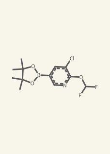 CC1(C)OB(c2cnc(OC(F)F)c(Cl)c2)OC1(C)C